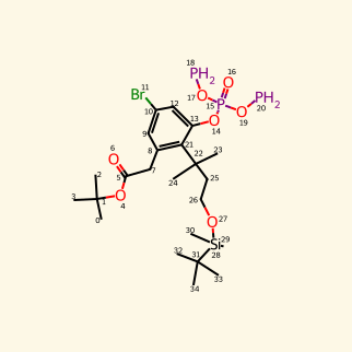 CC(C)(C)OC(=O)Cc1cc(Br)cc(OP(=O)(OP)OP)c1C(C)(C)CCO[Si](C)(C)C(C)(C)C